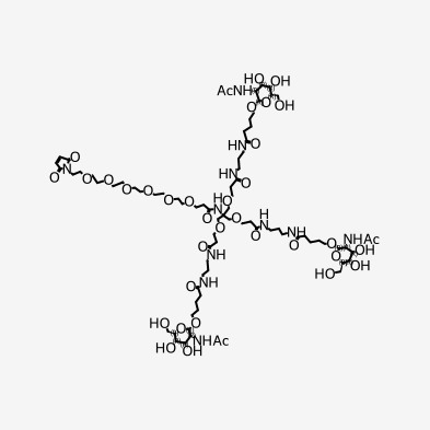 CC(=O)N[C@H]1[C@H](OCCCCC(=O)NCCCNC(=O)CCOCC(COCCC(=O)NCCCNC(=O)CCCCO[C@@H]2O[C@H](CO)[C@H](O)[C@H](O)[C@H]2NC(C)=O)(COCCC(=O)NCCCNC(=O)CCCCO[C@@H]2O[C@H](CO)[C@H](O)[C@H](O)[C@H]2NC(C)=O)NC(=O)CCOCCOCCOCCOCCOCCOCCN2C(=O)C=CC2=O)O[C@H](CO)[C@H](O)[C@@H]1O